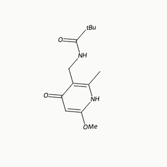 COc1cc(=O)c(CNC(=O)C(C)(C)C)c(C)[nH]1